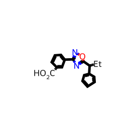 CCC(c1ccccc1)c1nc(-c2cccc(C(=O)O)c2)no1